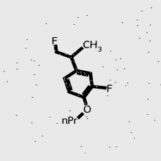 CCCOc1ccc([C](C)CF)cc1F